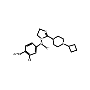 CC(=O)Nc1ccc([S+]([O-])N2CCN=C2N2CCN(C3CCC3)CC2)cc1Cl